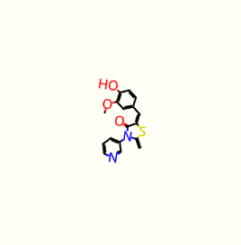 C=c1s/c(=C/c2ccc(O)c(OC)c2)c(=O)n1-c1cccnc1